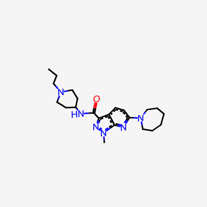 CCCN1CCC(NC(=O)c2nn(C)c3nc(N4CCCCCC4)ccc23)CC1